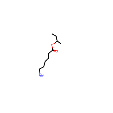 CCC(C)OC(=O)CCCCC[NH]